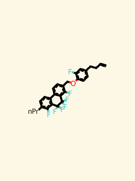 C=CCCc1ccc(OCc2ccc3c(c2F)C(F)(F)C(F)(F)c2c-3ccc(CCC)c2F)c(F)c1